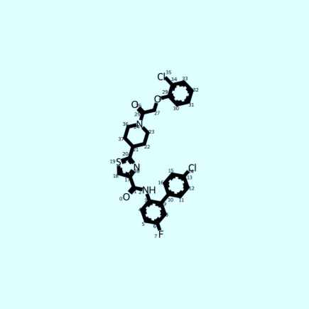 O=C(Nc1ccc(F)cc1-c1ccc(Cl)cc1)c1csc(C2CCN(C(=O)COc3ccccc3Cl)CC2)n1